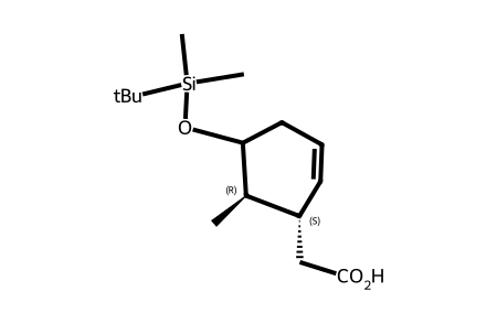 C[C@H]1C(O[Si](C)(C)C(C)(C)C)CC=C[C@@H]1CC(=O)O